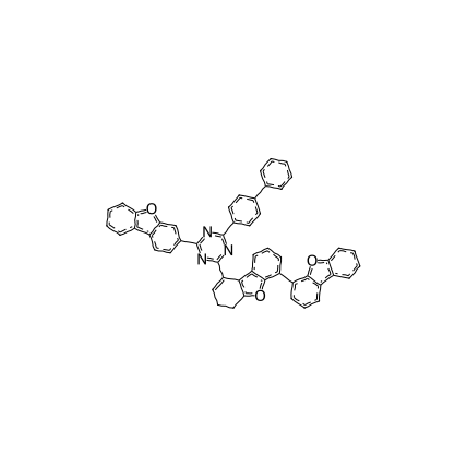 C1=C(c2nc(-c3ccc(-c4ccccc4)cc3)nc(-c3ccc4c(c3)oc3ccccc34)n2)c2c(oc3c(-c4cccc5c4oc4ccccc45)cccc23)CC1